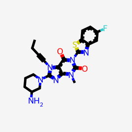 CCC#Cn1c(N2CCCC(N)C2)nc2c1c(=O)n(-c1nc3cc(F)ccc3s1)c(=O)n2C